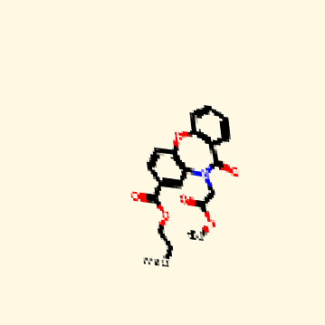 COCCOC(=O)c1ccc2c(c1)N(CC(=O)OC(C)(C)C)C(=O)c1[c]cccc1O2